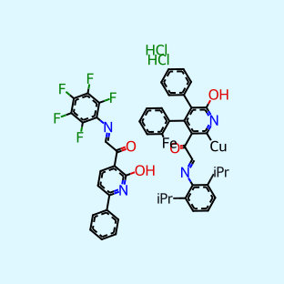 CC(C)c1cccc(C(C)C)c1N=CC(=O)c1[c]([Cu])nc(O)c(-c2ccccc2)c1-c1cccc[c]1[Fe].Cl.Cl.O=C(C=Nc1c(F)c(F)c(F)c(F)c1F)c1ccc(-c2ccccc2)nc1O